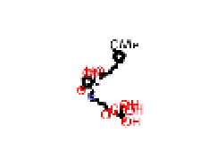 COCc1cccc(CCC[C@H](O)C=C=C2[C@@H](C/C=C\CCCC(=O)OCC(CO)(CO)CO)C(=O)C[C@H]2O)c1